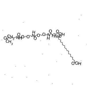 CC(=O)[C@@H](C)CCCCNC(=O)COCCOCCNC(=O)COCCOCCNC(=O)CCC(NC(=O)CCCCCCCCCCCCCCCCC(=O)O)C(=O)O